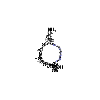 C[C@H](C[C@H](C)[C@@H]1OC(=O)CC(=O)CCCC(=O)CCC[C@@H](O)C[C@@H](O)CC(=O)C[C@H](O)[C@H](C(=O)O)[C@@H](O)C[C@H](O[C@@H]2O[C@@H](C)[C@@H](O)C(=O)[C@H]2O)/C=C/C=C/C=C/C=C/C=C/C=C/C=C/[C@@H]1C)[C@H](O)CC(=O)c1ccc(N)cc1